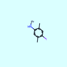 Cc1cc(NC(C)C)c(C)cc1I